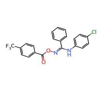 O=C(O/N=C(/Nc1ccc(Cl)cc1)c1ccccc1)c1ccc(C(F)(F)F)cc1